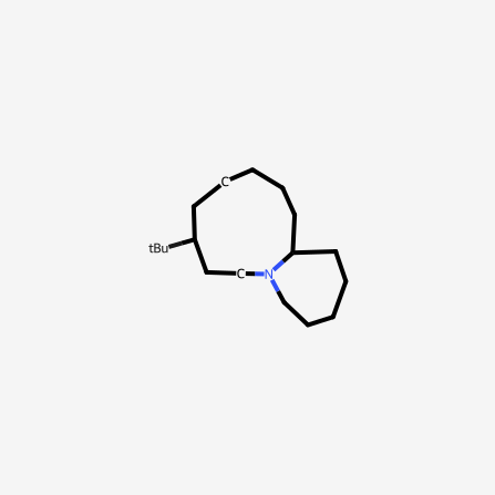 CC(C)(C)C1CCCCCC2CCCCCN2CC1